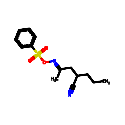 CCCC(C#N)C/C(C)=N/OS(=O)(=O)c1ccccc1